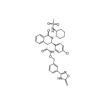 CS(=O)(=O)N[C@H]1CCCC[C@@H]1N1C(=O)c2ccccc2[C@@H](C(=O)NOCc2cccc(-c3noc(=S)[nH]3)c2)[C@@H]1c1ccc(Cl)cc1